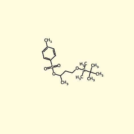 Cc1ccc(S(=O)(=O)OC(C)CCO[Si](C)(C)C(C)(C)C)cc1